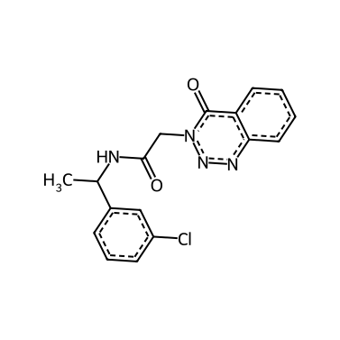 CC(NC(=O)Cn1nnc2ccccc2c1=O)c1cccc(Cl)c1